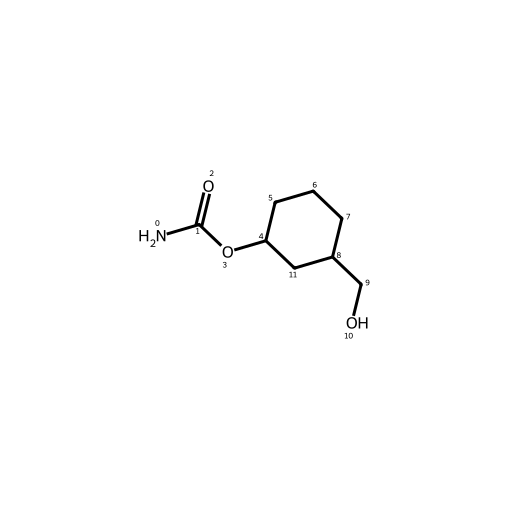 NC(=O)OC1CCCC(CO)C1